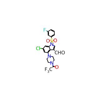 O=Cc1cn(S(=O)(=O)c2cccc(F)c2)c2cc(Cl)cc(N3CCN(C(=O)C(F)(F)F)CC3)c12